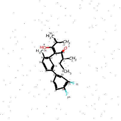 CC[C@H](C)C(=O)/C(=C(/O)C(C)C)c1cc(-c2ccc(F)c(F)c2)ccc1C